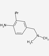 CC(C)c1cc(CN(C)C)ccc1N